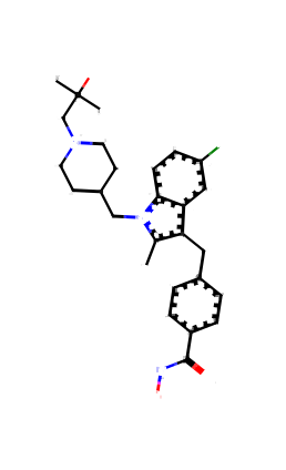 Cc1c(Cc2ccc(C(=O)NO)cc2)c2cc(F)ccc2n1CC1CCN(CC(C)(C)O)CC1